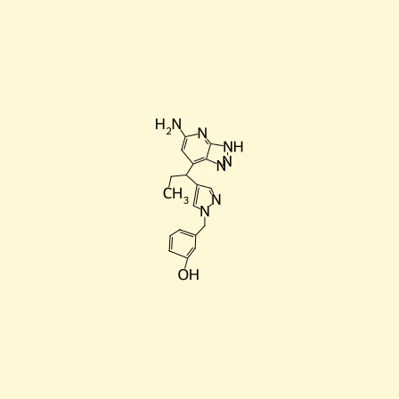 CCC(c1cnn(Cc2cccc(O)c2)c1)c1cc(N)nc2[nH]nnc12